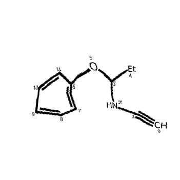 C#CNC(CC)Oc1ccccc1